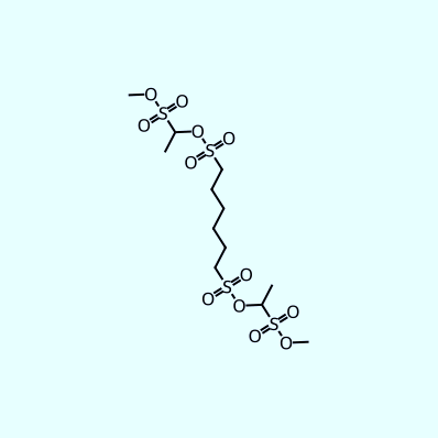 COS(=O)(=O)C(C)OS(=O)(=O)CCCCCCS(=O)(=O)OC(C)S(=O)(=O)OC